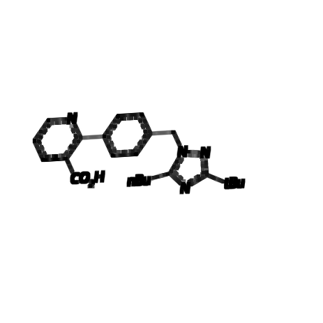 CCCCc1nc(C(C)(C)C)nn1Cc1ccc(-c2ncccc2C(=O)O)cc1